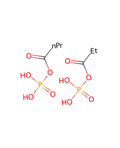 CCC(=O)OP(=O)(O)O.CCCC(=O)OP(=O)(O)O